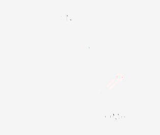 COC(=O)c1cccc(CC#N)c1Cl